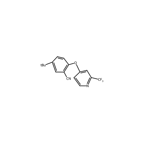 CC(C)(C)c1ccc(Oc2ccnc(C(F)(F)F)c2)c(C#N)c1